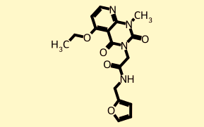 CCOc1ccnc2c1c(=O)n(CC(=O)NCc1ccco1)c(=O)n2C